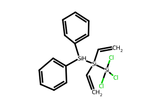 C=C[Si](C=C)([SiH](c1ccccc1)c1ccccc1)[Si](Cl)(Cl)Cl